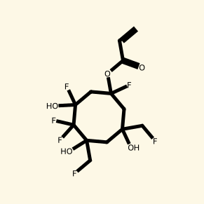 C=CC(=O)OC1(F)CC(O)(CF)CC(O)(CF)C(F)(F)C(O)(F)C1